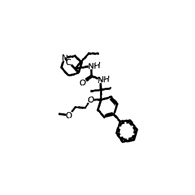 CCC1(NC(=O)NC(C)(C)C2(OCCOC)C=CC(c3ccccc3)=CC2)CN2CCC1CC2